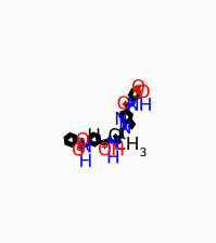 CC(C)(CCn1ccc2cc(C(=O)NC3CCS(=O)(=O)C3)cnc21)NC[C@H](O)c1cccc(NS(=O)(=O)c2ccccc2)c1